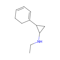 CCNC1CC1C1=CC=CCC1